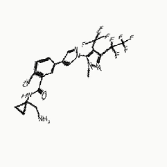 Cn1nc(C(F)(F)C(F)(F)F)c(C(F)(F)F)c1-n1cc(-c2ccc(Cl)c(C(=O)NC3(CN)CC3)c2)cn1